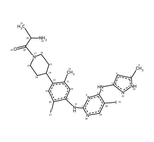 Cc1cc(Nc2nc(Nc3cc(C)c(C4CCN(C(=O)C(C)N)CC4)cc3F)ncc2I)n[nH]1